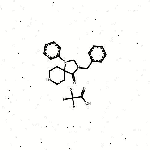 O=C(O)C(F)(F)F.O=C1N(Cc2ccccc2)CN(c2ccccc2)C12CCNCC2